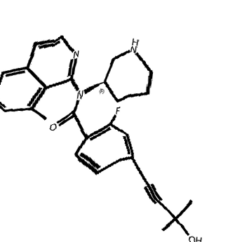 Cc1cccc2ccnc(N(C(=O)c3ccc(C#CC(C)(C)O)cc3F)[C@@H]3CCCNC3)c12